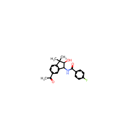 CC(=O)c1ccc2c(c1)C(NC(=O)c1ccc(F)cc1)C(O)C2(C)C